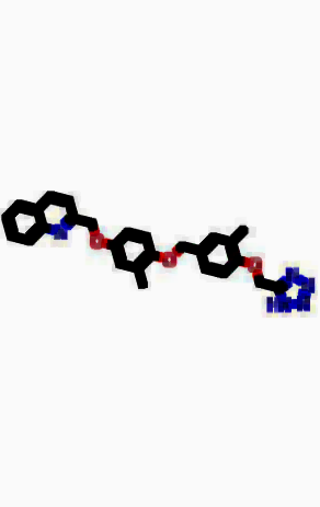 Cc1cc(OCc2ccc3ccccc3n2)ccc1OCc1ccc(OCc2nnn[nH]2)c(C)c1